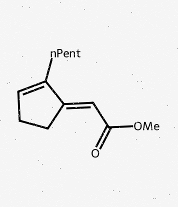 CCCCCC1=CCCC1=CC(=O)OC